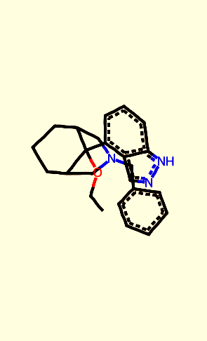 CCOC1(c2cccc3[nH]ncc23)C2CCCC1CN(Cc1ccccc1)C2